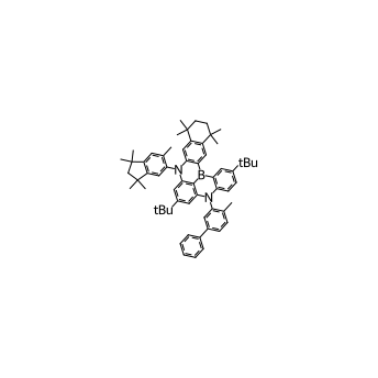 Cc1ccc(-c2ccccc2)cc1N1c2ccc(C(C)(C)C)cc2B2c3cc4c(cc3N(c3cc5c(cc3C)C(C)(C)CC5(C)C)c3cc(C(C)(C)C)cc1c32)C(C)(C)CCC4(C)C